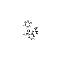 O=C([O-])Cc1ncccc1C(=O)OCc1ccccc1.[Li+]